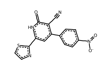 N#Cc1c(-c2ccc([N+](=O)[O-])cc2)cc(-c2nccs2)[nH]c1=O